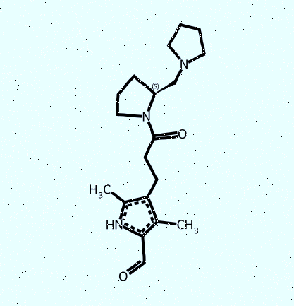 Cc1[nH]c(C=O)c(C)c1CCC(=O)N1CCC[C@H]1CN1CCCC1